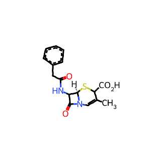 CC1=CN2C(=O)C(NC(=O)Cc3ccccc3)[C@H]2SC1C(=O)O